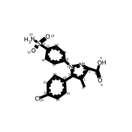 Cc1c(C(=O)O)nn(-c2ccc(S(N)(=O)=O)cc2)c1-c1ccc(Cl)cc1